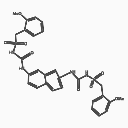 COc1ccccc1CS(=O)(=O)NC(=O)Nc1ccc2ccc(NC(=O)NS(=O)(=O)Cc3ccccc3OC)cc2c1